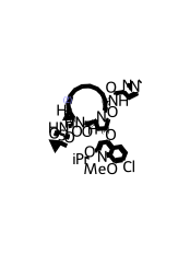 COc1c(Cl)ccc2c(O[C@@H]3C[C@H]4C(=O)N[C@]5(C(=O)NS(=O)(=O)C6(C)CC6)C[C@H]5/C=C\CCCCC[C@H](NC(=O)c5ccn(C)n5)C(=O)N4C3)cc(OC(C)C)nc12